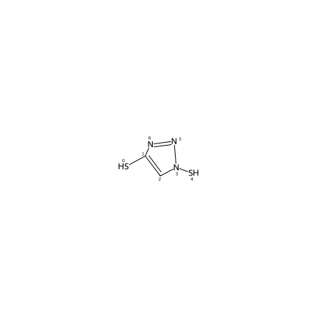 Sc1cn(S)nn1